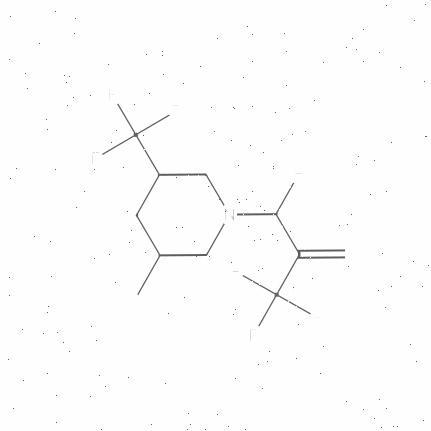 C=C(C(F)N1CC(C)CC(C(F)(F)F)C1)C(F)(F)F